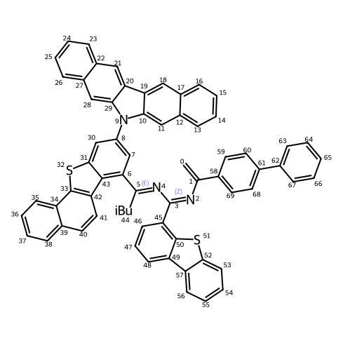 C=C(/N=C(\N=C(\c1cc(-n2c3cc4ccccc4cc3c3cc4ccccc4cc32)cc2sc3c4ccccc4ccc3c12)C(C)CC)c1cccc2c1sc1ccccc12)c1ccc(-c2ccccc2)cc1